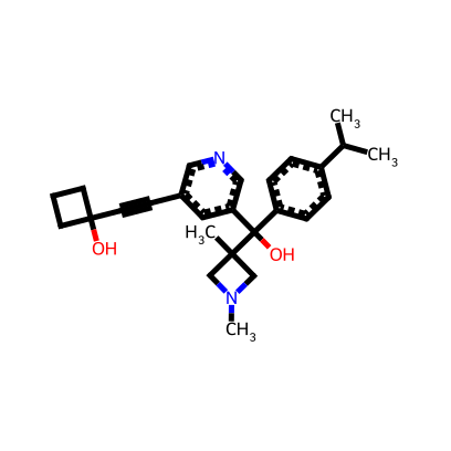 CC(C)c1ccc(C(O)(c2cncc(C#CC3(O)CCC3)c2)C2(C)CN(C)C2)cc1